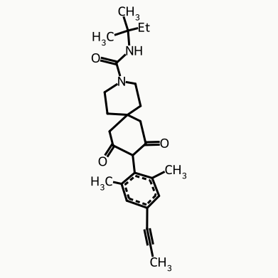 CC#Cc1cc(C)c(C2C(=O)CC3(CCN(C(=O)NC(C)(C)CC)CC3)CC2=O)c(C)c1